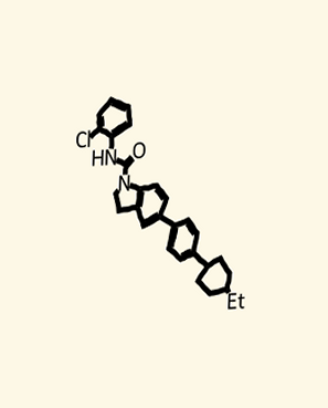 CCC1CCC(c2ccc(-c3ccc4c(c3)CCN4C(=O)Nc3ccccc3Cl)cc2)CC1